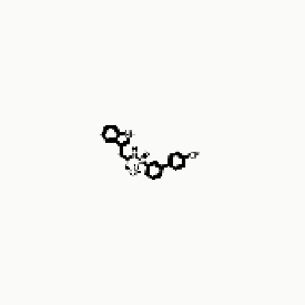 O=S(=O)(N[C@@H](CO)Cc1c[nH]c2ccccc12)c1cccc(-c2ccc(C(F)(F)F)cc2)c1